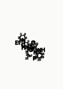 CC[C@H]1CCCCN1C(=O)CC(NC(=O)CC1CC1)C(=O)NC(C)c1nc2c(F)cccc2[nH]1